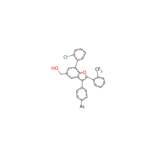 CC(=O)c1ccc(-c2c(-c3ccccc3C(F)(F)F)oc3c(-c4ccccc4Cl)cc(CO)cc23)cc1